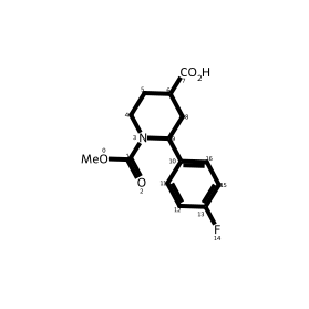 COC(=O)N1CCC(C(=O)O)CC1c1ccc(F)cc1